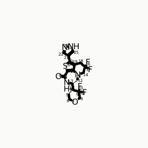 O=C1N[C@@H]([C@H]2CCOCC2(F)F)CN2CC(F)(F)Cc3c(-c4cn[nH]c4)sc1c32